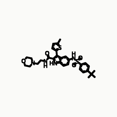 Cc1ccc(-c2c(C(=O)NCCN3CCOCC3)[nH]c3ccc(NS(=O)(=O)c4ccc(C(C)(C)C)cc4)cc23)s1